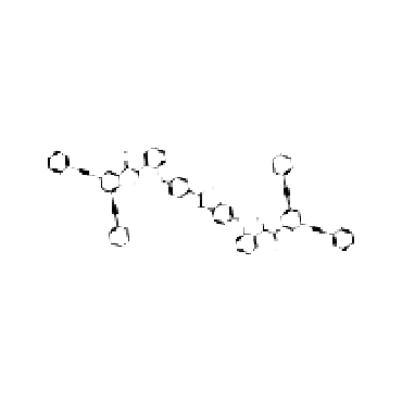 O=C(C(=O)c1ccc(Oc2ccccc2C(=O)C(=O)c2cc(C#Cc3ccccc3)cc(C#Cc3ccccc3)c2)cc1)c1ccc(Oc2ccccc2C(=O)C(=O)c2cc(C#Cc3ccccc3)cc(C#Cc3ccccc3)c2)cc1